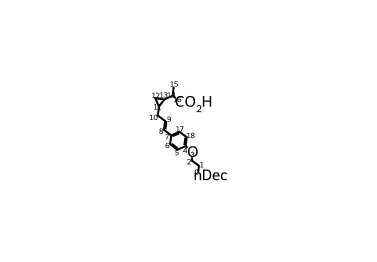 CCCCCCCCCCCCOc1ccc(C=CCC2CC2C(C)C(=O)O)cc1